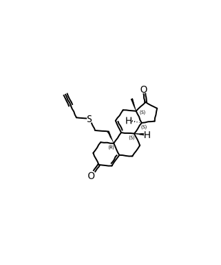 C#CCSCC[C@]12CCC(=O)C=C1CC[C@@H]1C2=CC[C@]2(C)C(=O)CC[C@@H]12